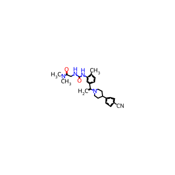 C=C(c1ccc(C)c(NC(=O)NCC(=O)N(C)C)c1)N1CCC(c2ccc(C#N)cc2)CC1